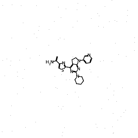 C=C(N)c1csc(-c2nc(N3CCCCC3)nc3c2CCN3c2cccnc2)n1